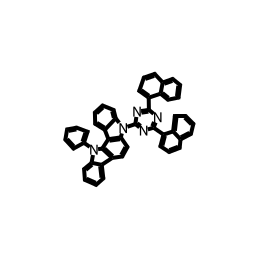 c1ccc(-n2c3ccccc3c3ccc4c(c5ccccc5n4-c4nc(-c5cccc6ccccc56)nc(-c5cccc6ccccc56)n4)c32)cc1